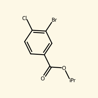 CC(C)OC(=O)c1ccc(Cl)c(Br)c1